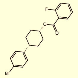 O=C(O[C@H]1CC[C@@H](c2ccc(Br)cc2)CC1)c1ccccc1F